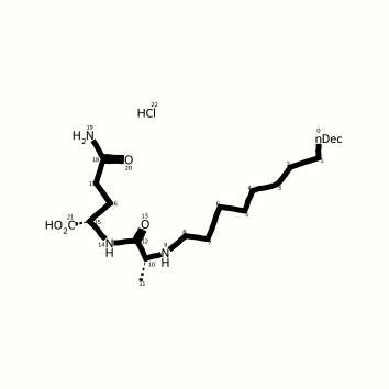 CCCCCCCCCCCCCCCCCCN[C@H](C)C(=O)N[C@@H](CCC(N)=O)C(=O)O.Cl